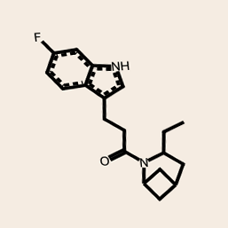 CCC1CC2CC(C2)N1C(=O)CCc1c[nH]c2cc(F)ccc12